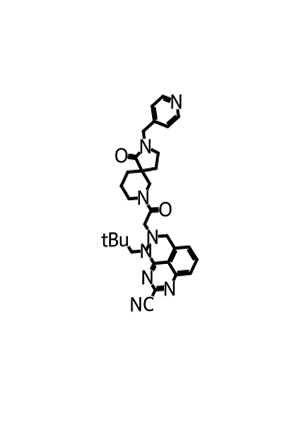 CC(C)(C)CN1c2nc(C#N)nc3cccc(c23)CN1CC(=O)N1CCCC2(CCN(Cc3ccncc3)C2=O)C1